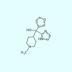 CN1CCC(C(O)(c2ccoc2)c2ncc[nH]2)CC1